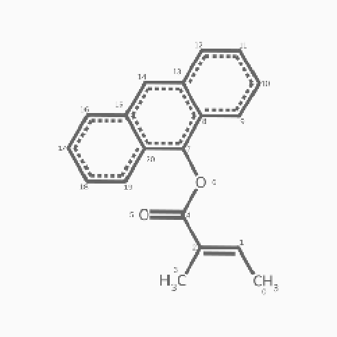 CC=C(C)C(=O)Oc1c2ccccc2cc2ccccc12